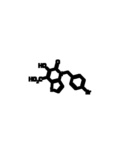 O=C(O)c1c(O)c(=O)n(Cc2ccc(Br)cc2)c2ccsc12